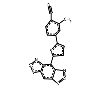 Cc1cc(-c2ccc(-c3c4c(cc5nsnc35)N=S=N4)s2)ccc1C#N